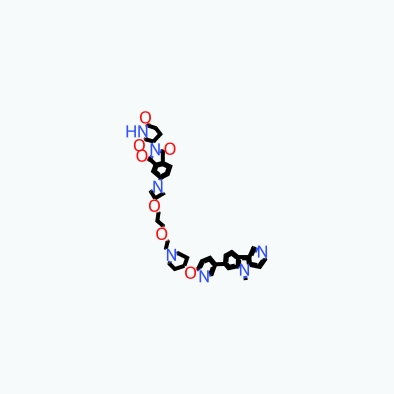 Cn1c2ccncc2c2ccc(-c3ccc(OC4CCN(CCOCCCOC5CN(c6ccc7c(c6)C(=O)N(C6CCC(=O)NC6=O)C7=O)C5)CC4)nc3)cc21